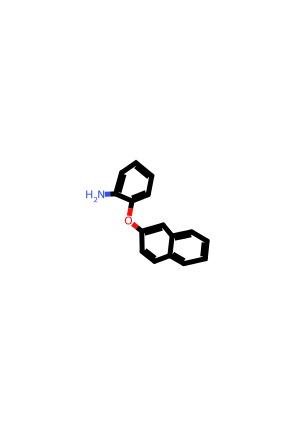 Nc1ccccc1Oc1ccc2ccccc2c1